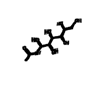 CC(=O)NC(O)C(O)C(O)C(O)C(O)CO